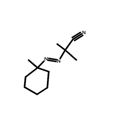 CC(C)(C#N)N=NC1(C)CCCCC1